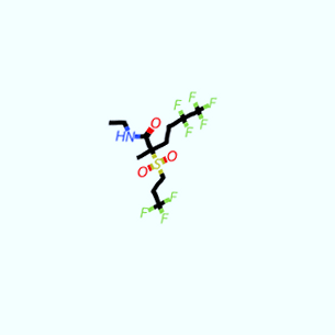 CCNC(=O)C(C)(CCC(F)(F)C(F)(F)F)S(=O)(=O)CCC(F)(F)F